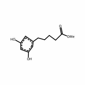 COC(=O)CCCCc1cc(O)cc(O)c1